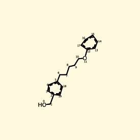 OCc1ccc(CCCCCOc2ccccc2)cc1